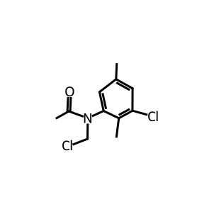 CC(=O)N(CCl)c1cc(C)cc(Cl)c1C